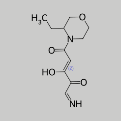 CCC1COCCN1C(=O)/C=C(\O)C(=O)C=N